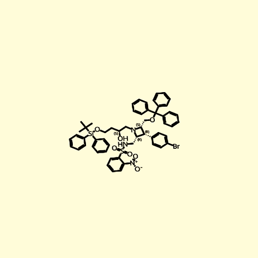 CC(C)(C)[Si](OCC[C@H](O)CN1[C@H](COC(c2ccccc2)(c2ccccc2)c2ccccc2)[C@H](c2ccc(Br)cc2)[C@@H]1CNS(=O)(=O)c1ccccc1[N+](=O)[O-])(c1ccccc1)c1ccccc1